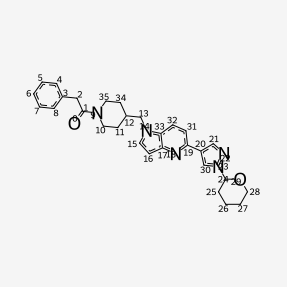 O=C(Cc1ccccc1)N1CCC(Cn2ccc3nc(-c4cnn(C5CCCCO5)c4)ccc32)CC1